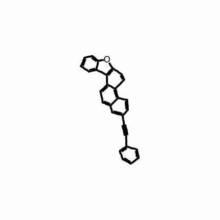 C(#Cc1ccc2c(ccc3c2ccc2oc4ccccc4c23)c1)c1ccccc1